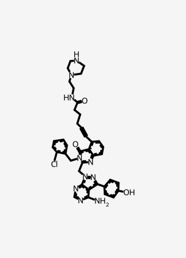 Nc1ncnc2c1c(-c1ccc(O)cc1)nn2Cc1nc2cccc(C#CCCCC(=O)NCCN3CCNCC3)c2c(=O)n1Cc1ccccc1Cl